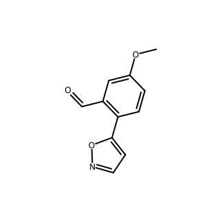 COc1ccc(-c2ccno2)c(C=O)c1